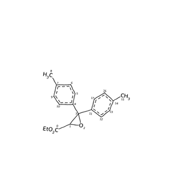 CCOC(=O)C1OC1(c1ccc(C)cc1)c1ccc(C)cc1